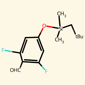 CC(C)(C)C[Si](C)(C)Oc1cc(F)c(C=O)c(F)c1